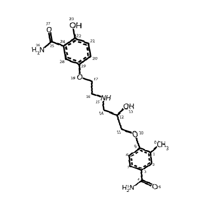 Cc1cc(C(N)=O)ccc1OCC(O)CNCCOc1ccc(O)c(C(N)=O)c1